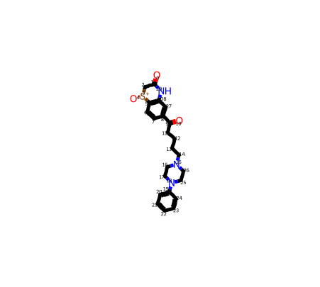 O=C1C[S+]([O-])c2ccc(C(=O)CCCCN3CCN(c4ccccc4)CC3)cc2N1